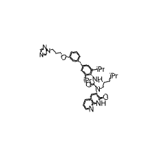 CC(C)CCCN(C(=O)Nc1c(C(C)C)cc(-c2cccc(OCCCn3cncn3)c2)cc1C(C)C)c1cc2cccnc2[nH]c1=O